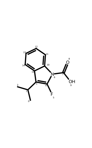 CC(C)c1c(F)n(C(=O)O)c2ccccc12